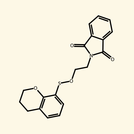 O=C1c2ccccc2C(=O)N1CCOSc1cccc2c1OCCC2